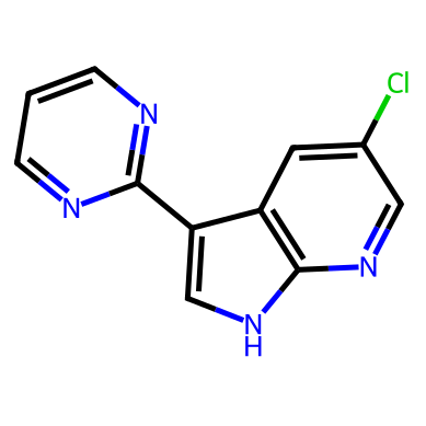 Clc1cnc2[nH]cc(-c3ncccn3)c2c1